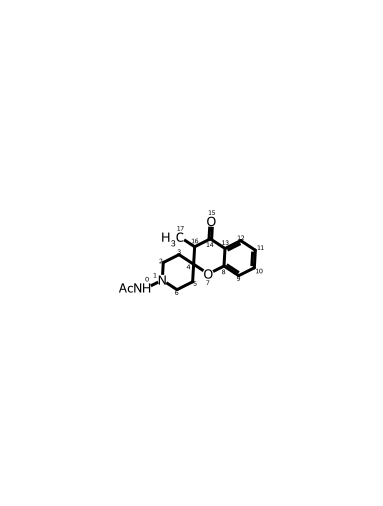 CC(=O)NN1CCC2(CC1)Oc1ccccc1C(=O)C2C